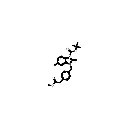 COC(=O)Cc1ccc(Cn2c(=O)n(C(=O)OC(C)(C)C)c3ccc(F)cc32)cc1